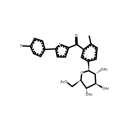 CC(=O)OC[C@H]1O[C@@H](c2ccc(C)c(C(=O)c3ccc(-c4ccc(F)cc4)s3)c2)[C@H](OC(C)=O)[C@@H](OC(C)=O)[C@@H]1OC(C)=O